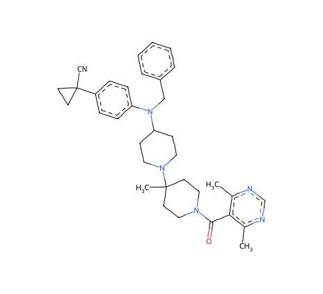 Cc1ncnc(C)c1C(=O)N1CCC(C)(N2CCC(N(Cc3ccccc3)c3ccc(C4(C#N)CC4)cc3)CC2)CC1